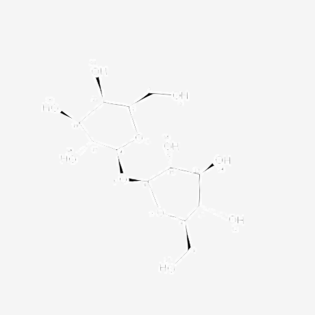 OC[C@H]1O[C@@H](O[C@@H]2O[C@H](CO)[C@@H](O)[C@H](O)[C@H]2O)[C@H](O)[C@@H](O)[C@H]1O